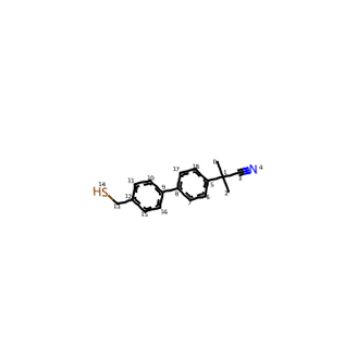 CC(C)(C#N)c1ccc(-c2ccc(CS)cc2)cc1